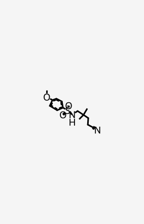 COc1ccc(S(=O)(=O)NCC(C)(C)CCC#N)cc1